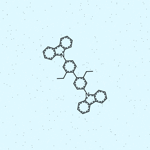 CCc1cc(-n2c3ccccc3c3ccccc32)ccc1-c1ccc(-n2c3ccccc3c3ccccc32)cc1CC